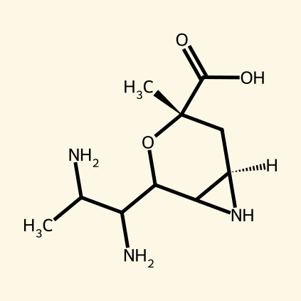 CC(N)C(N)C1O[C@](C)(C(=O)O)C[C@H]2NC12